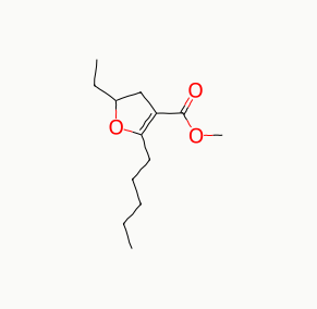 CCCCCC1=C(C(=O)OC)CC(CC)O1